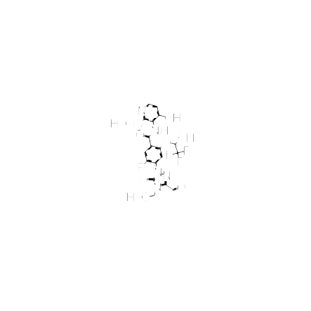 CCn1c(C=O)nn(-c2cc(OC(C)C(F)(F)F)c(C(=O)Nc3c(C)ccnc3OC)cc2F)c1=O